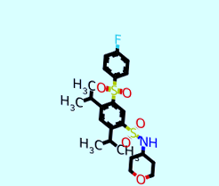 CC(C)c1cc(C(C)C)c(S(=O)(=O)c2ccc(F)cc2)cc1S(=O)(=O)NC1CCOCC1